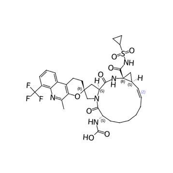 Cc1nc2c(C(F)(F)F)cccc2c2c1O[C@]1(CC2)C[C@H]2C(=O)N[C@]3(C(=O)NS(=O)(=O)C4CC4)C[C@H]3/C=C\CCCCC[C@H](NC(=O)O)C(=O)N2C1